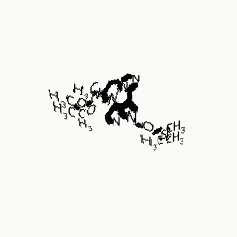 CN(C(=O)OC(C)(C)C)[C@H]1CCCN(c2ccnc3c2c(-c2cnccn2)cn3COCC[Si](C)(C)C)C1